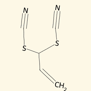 C=CC(SC#N)SC#N